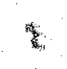 COc1cccc([C@@H](C)NCCOc2cc(-c3ccc4nc(C(=O)O)c(C)cc4c3)cc(C(F)(F)F)c2)c1